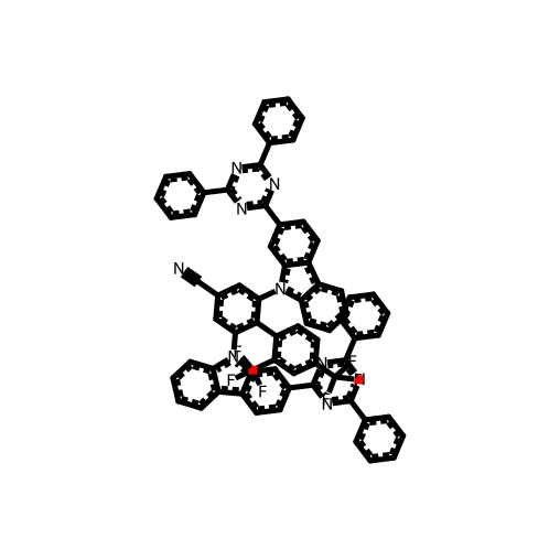 N#Cc1cc(-n2c3ccccc3c3ccc(-c4nc(-c5ccccc5)nc(-c5ccccc5)n4)cc32)c(-c2ccc(C(F)(F)F)cc2C(F)(F)F)c(-n2c3ccccc3c3ccc(-c4nc(-c5ccccc5)nc(-c5ccccc5)n4)cc32)c1